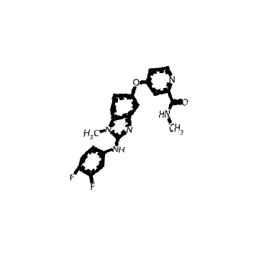 CNC(=O)c1cc(Oc2ccc3c(c2)nc(Nc2ccc(F)c(F)c2)n3C)ccn1